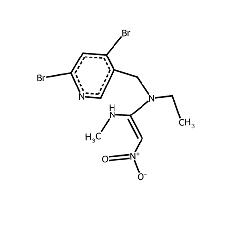 CCN(Cc1cnc(Br)cc1Br)/C(=C/[N+](=O)[O-])NC